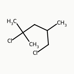 CC(CCl)CC(C)(C)Cl